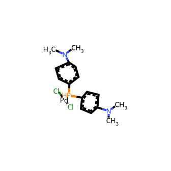 CN(C)c1ccc(Pc2ccc(N(C)C)cc2)cc1.[Cl][Pd][Cl]